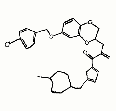 C=C(CC1COc2ccc(OCc3ccc(Cl)cc3)cc2O1)C(=O)C1=CC=C(CC2CCC(C)CC2)C1